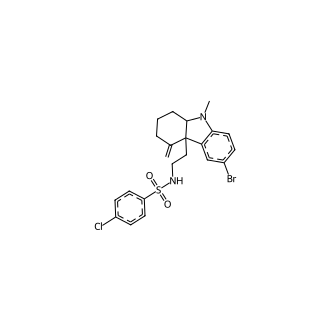 C=C1CCCC2N(C)c3ccc(Br)cc3C12CCNS(=O)(=O)c1ccc(Cl)cc1